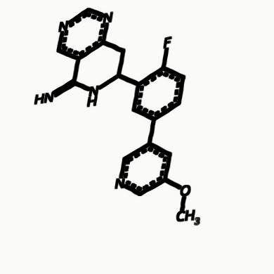 COc1cncc(-c2ccc(F)c(C3Cc4ncncc4C(=N)N3)c2)c1